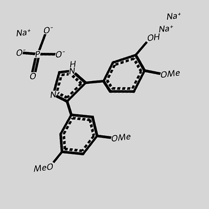 COc1cc(OC)cc(-c2nc[nH]c2-c2ccc(OC)c(O)c2)c1.O=P([O-])([O-])[O-].[Na+].[Na+].[Na+]